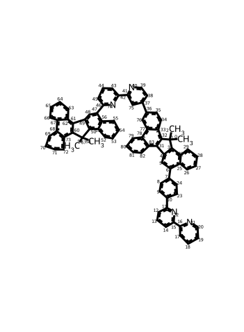 CC1(C)c2c(cc(-c3ccc(-c4cccc(-c5ccccn5)n4)cc3)c3ccccc23)-c2c1c1ccc(-c3ccnc(-c4cccc(-c5cc6c(c7ccccc57)C(C)(C)c5c-6c6ccccc6c6ccccc56)n4)c3)cc1c1ccccc21